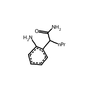 CCCC(C(N)=O)c1ccccc1N